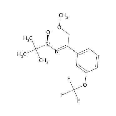 COCC(=N[S@+]([O-])C(C)(C)C)c1cccc(OC(F)(F)F)c1